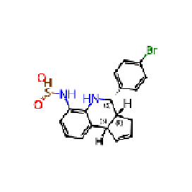 O=[SH](=O)Nc1cccc2c1N[C@H](c1ccc(Br)cc1)[C@@H]1CC=C[C@H]21